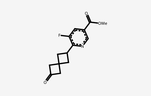 COC(=O)c1cnc(C2CC3(CC(=O)C3)C2)c(F)c1